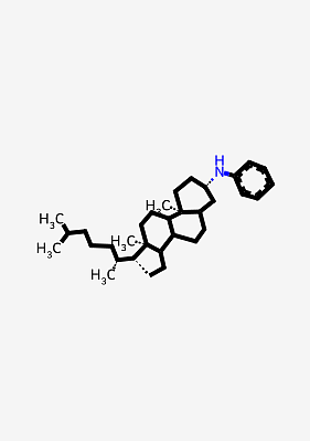 CC(C)CCC[C@@H](C)[C@H]1CCC2C3CCC4C[C@@H](Nc5ccccc5)CC[C@]4(C)C3CC[C@@]21C